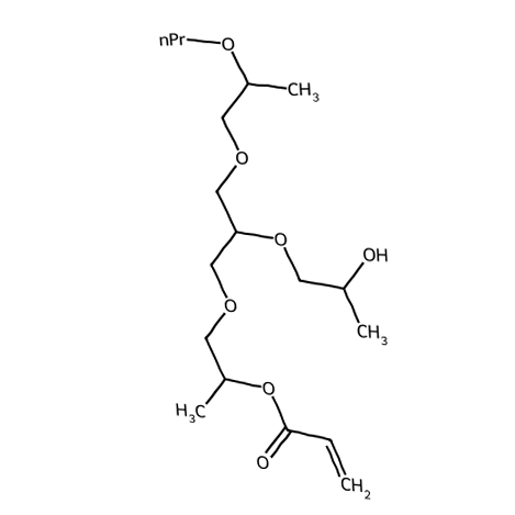 C=CC(=O)OC(C)COCC(COCC(C)OC[CH]C)OCC(C)O